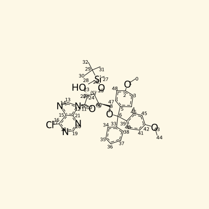 COc1ccc(C(OC[C@H]2O[C@@H](n3cnc4c(Cl)ncnc43)[C@H](O)[C@@H]2O[Si](C)(C)C(C)(C)C)(c2ccccc2)c2ccc(OC)cc2)cc1